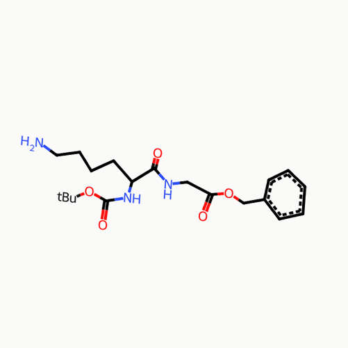 CC(C)(C)OC(=O)NC(CCCCN)C(=O)NCC(=O)OCc1ccccc1